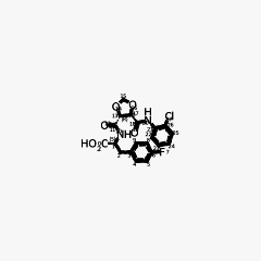 O=C(O)[C@H](Cc1ccc(F)cc1)NC(=O)[C@@H]1OCO[C@H]1C(=O)Nc1ccccc1Cl